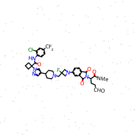 CNC(=O)C(CCC=O)N1C(=O)c2ccc(N3CC(F)(CN4CCC(c5cnn(C6(C(=O)Nc7ccc(C(F)(F)F)cc7Cl)CCC6)c5)CC4)C3)cc2C1=O